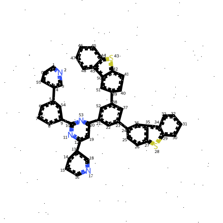 c1cncc(-c2cccc(-c3nc(-c4cccnc4)cc(-c4cc(-c5ccc6sc7ccccc7c6c5)cc(-c5ccc6sc7ccccc7c6c5)c4)n3)c2)c1